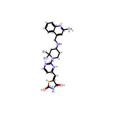 CCC1(CC)CC(NCc2cc(C)nc3ccccc23)CCN1c1nccc(/C=C2\SC(=O)NC2=O)n1